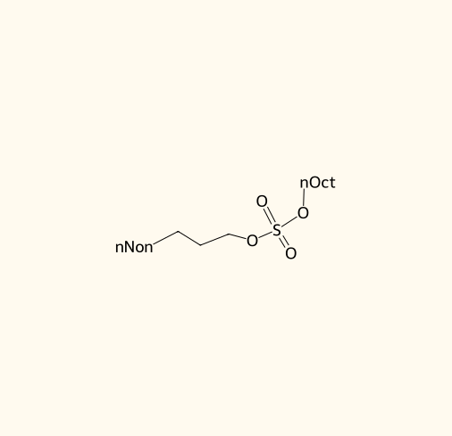 CCCCCCCCCCCCOS(=O)(=O)OCCCCCCCC